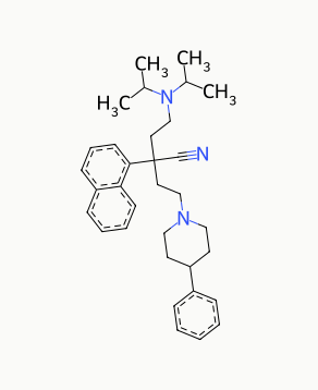 CC(C)N(CCC(C#N)(CCN1CCC(c2ccccc2)CC1)c1cccc2ccccc12)C(C)C